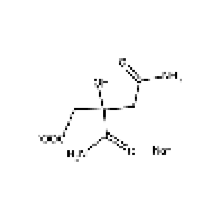 NC(=O)CC(O)(CC(=O)[O-])C(N)=O.[Na+]